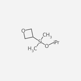 CC(C)O[Si](C)(C)C1COC1